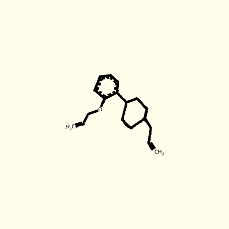 C=CCOc1c[c]ccc1C1CCC(CC=C)CC1